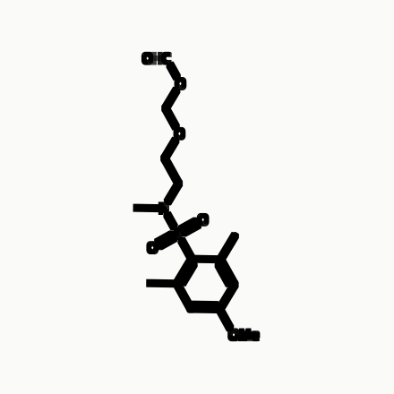 COc1cc(C)c(S(=O)(=O)N(C)CCOCOC=O)c(C)c1